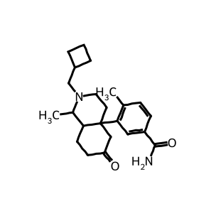 Cc1ccc(C(N)=O)cc1C12CCN(CC3CCC3)C(C)C1CCC(=O)C2